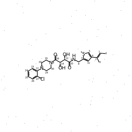 C/C=C(\C)c1csc(CNC(=O)[C@H](O)[C@@H](O)C(=O)N2CCN(c3ccccc3Cl)CC2)c1